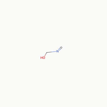 C=NCO